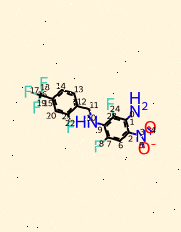 Nc1c([N+](=O)[O-])cc(F)c(NCc2ccc(C(F)(F)F)cc2F)c1F